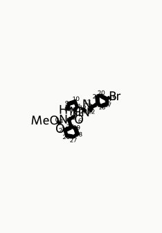 COC(=O)NC(C(=O)N1CC=C[C@H]1c1nc(-c2ccc(Br)cc2)c[nH]1)c1ccccc1